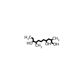 CCC(O)C(C)CCCC(O)CC(C)CO